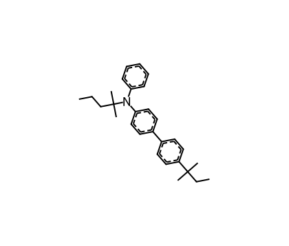 CCCC(C)(C)N(c1ccccc1)c1ccc(-c2ccc(C(C)(C)CC)cc2)cc1